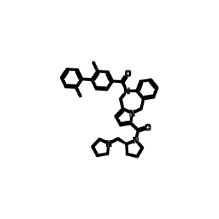 Cc1ccccc1-c1ccc(C(=O)N2Cc3ccc(C(=O)N4CCC[C@H]4CN4CCCC4)n3Cc3ccccc32)cc1C